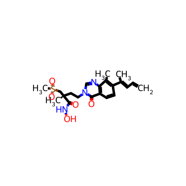 C=C/C=C(\C)c1ccc2c(=O)n(CC[C@@](C)(CS(C)(=O)=O)C(=O)NO)cnc2c1C